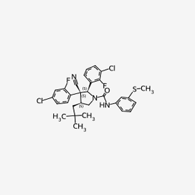 CSc1cccc(NC(=O)N2C[C@@H](CC(C)(C)C)[C@](C#N)(c3ccc(Cl)cc3F)[C@H]2c2cccc(Cl)c2F)c1